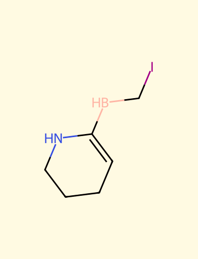 ICBC1=CCCCN1